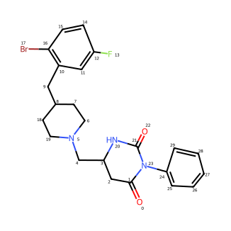 O=C1CC(CN2CCC(Cc3cc(F)ccc3Br)CC2)NC(=O)N1c1ccccc1